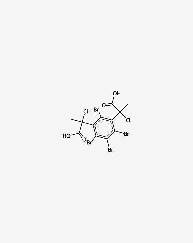 CC(Cl)(C(=O)O)c1c(Br)c(Br)c(Br)c(C(C)(Cl)C(=O)O)c1Br